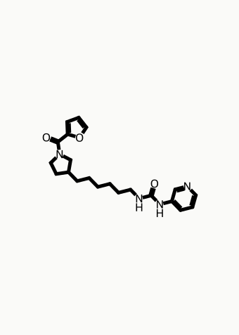 O=C(NCCCCCCC1CCN(C(=O)c2ccco2)C1)Nc1cccnc1